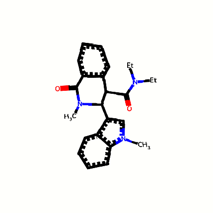 CCN(CC)C(=O)C1c2ccccc2C(=O)N(C)C1c1cn(C)c2ccccc12